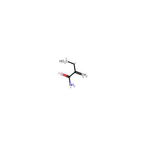 C=C(CC(=O)O)C(N)=O